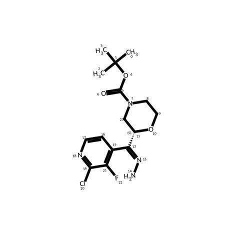 CC(C)(C)OC(=O)N1CCO[C@H](C(=NN)c2ccnc(Cl)c2F)C1